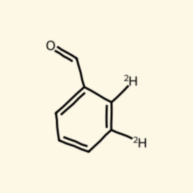 [2H]c1cccc(C=O)c1[2H]